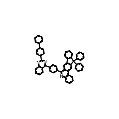 c1ccc(-c2ccc(-c3nc(-c4ccc(-c5nc6ccccc6c6cc7c(cc56)-c5ccccc5C7(c5ccccc5)c5ccccc5)cc4)c4ccccc4n3)cc2)cc1